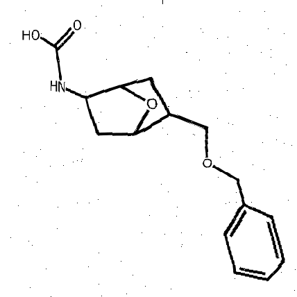 O=C(O)NC1CC2OC1CC2COCc1ccccc1